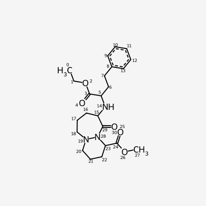 CCOC(=O)C(CCc1ccccc1)NC1CCCN2CCCC(C(=O)OC)N2C1=O